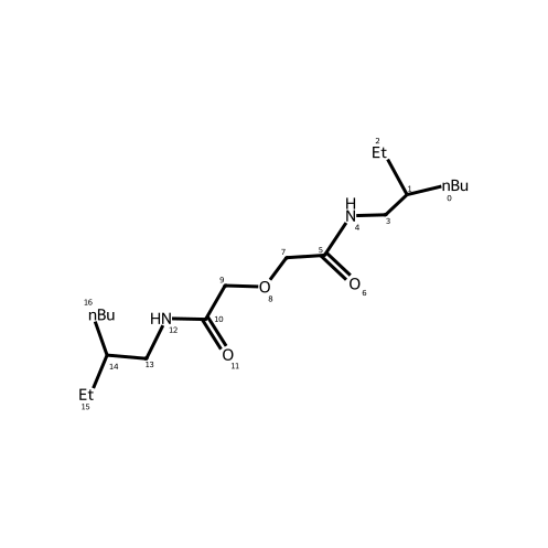 CCCCC(CC)CNC(=O)COCC(=O)NCC(CC)CCCC